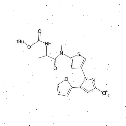 CC(NC(=O)OC(C)(C)C)C(=O)N(C)c1cc(-n2nc(C(F)(F)F)cc2-c2ccco2)cs1